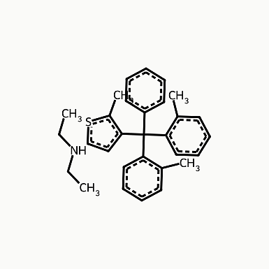 CCNCC.Cc1ccccc1C(c1ccccc1)(c1ccccc1C)c1ccsc1C